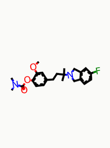 COc1cc(CCC(C)(C)N2Cc3ccc(F)cc3C2)ccc1OC(=O)N(C)C